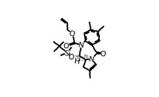 C=CCOC(=O)N1c2cc(C)c(C)cc2C(=O)N2C=C(C)C[C@H]2[C@@H]1O[Si](C)(C)C(C)(C)C